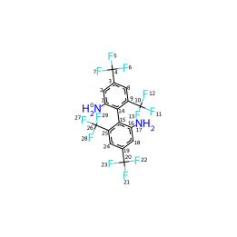 Nc1cc(C(F)(F)F)cc(C(F)(F)F)c1-c1c(N)cc(C(F)(F)F)cc1C(F)(F)F